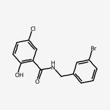 O=C(NCc1cccc(Br)c1)c1cc(Cl)ccc1O